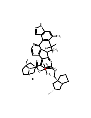 Cc1cc2[nH]ncc2c(-c2nccc3c4c(N5C[C@H]6CC[C@@H](C5)N6C(=O)OC(C)(C)C)nc(OC[C@@]56CCCN5C[C@H](F)C6)nc4n(C)c23)c1C(F)(F)F